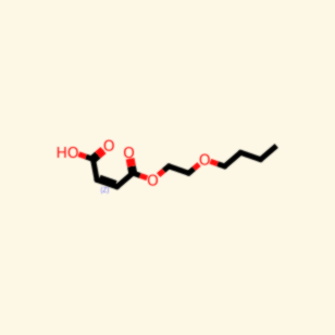 CCCCOCCOC(=O)/C=C\C(=O)O